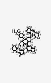 Cc1ccc(-c2c3ccc(N4c5ccccc5Sc5ccccc54)cc3c(-c3ccc4ccccc4c3)c3ccc(N4c5ccccc5Sc5ccccc54)cc23)cc1